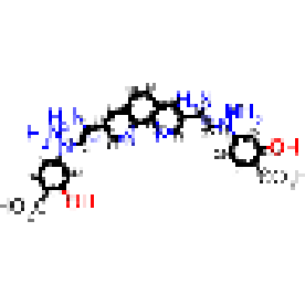 N/C(=C\N(N)c1ccc(C(=O)O)c(O)c1)c1cnc2c(ccc3cc(/C(N)=C/N(N)c4ccc(C(=O)O)c(O)c4)cnc32)c1